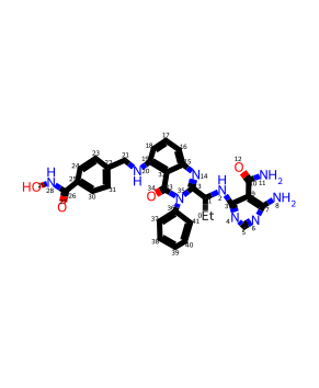 CCC(Nc1ncnc(N)c1C(N)=O)c1nc2cccc(NCc3ccc(C(=O)NO)cc3)c2c(=O)n1-c1ccccc1